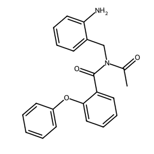 CC(=O)N(Cc1ccccc1N)C(=O)c1ccccc1Oc1ccccc1